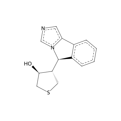 O[C@@H]1CSC[C@H]1[C@@H]1c2ccccc2-c2cncn21